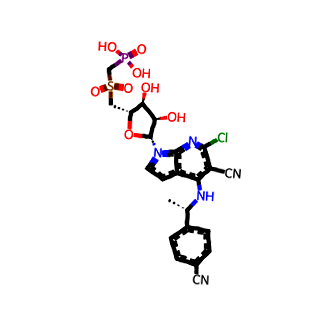 C[C@H](Nc1c(C#N)c(Cl)nc2c1ccn2[C@@H]1O[C@H](CS(=O)(=O)CP(=O)(O)O)[C@@H](O)[C@H]1O)c1ccc(C#N)cc1